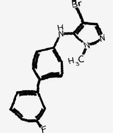 Cn1ncc(Br)c1Nc1ccc(-c2cccc(F)c2)cc1